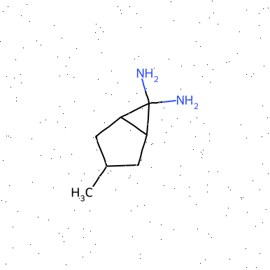 CC1CC2C(C1)C2(N)N